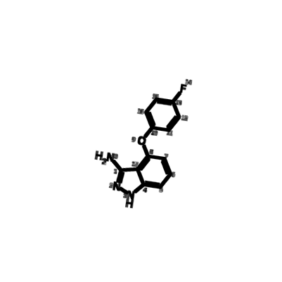 Nc1n[nH]c2cccc(Oc3ccc(F)cc3)c12